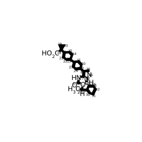 [2H]C(C)(OC(=O)Nc1c(-c2ccc(-c3ccc(C4(C(=O)O)CC4)cc3)cc2)cnn1C)c1ccccc1